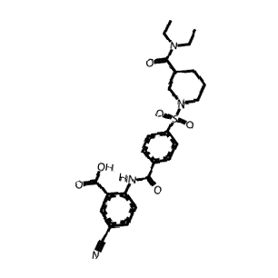 CCN(CC)C(=O)C1CCCN(S(=O)(=O)c2ccc(C(=O)Nc3ccc(C#N)cc3C(=O)O)cc2)C1